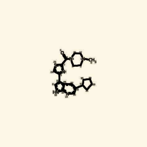 CN1CCN(C(=O)c2nc(-c3c[nH]c4ncc(C5CCCC5)cc34)cs2)CC1